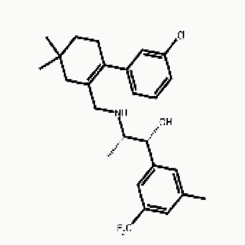 Cc1cc([C@@H](O)[C@H](C)NCC2=C(c3cccc(Cl)c3)CCC(C)(C)C2)cc(C(F)(F)F)c1